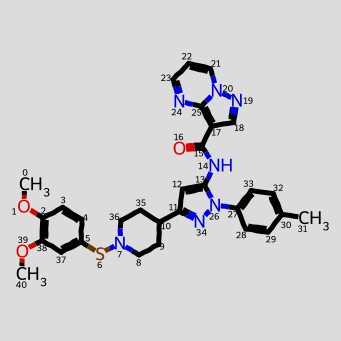 COc1ccc(SN2CCC(c3cc(NC(=O)c4cnn5cccnc45)n(-c4ccc(C)cc4)n3)CC2)cc1OC